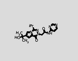 CC(C)c1nn(CC(=O)Nc2ccncn2)c(=O)c2cc(C(C)(C)O)cn12